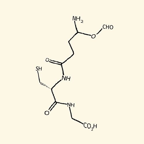 NC(CCC(=O)N[C@@H](CS)C(=O)NCC(=O)O)OC=O